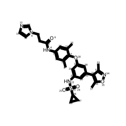 Cc1cc(NC(=O)CCn2ccnc2)cc(C)c1Oc1cc(NS(=O)(=O)C2CC2)cc(-c2c(C)noc2C)c1